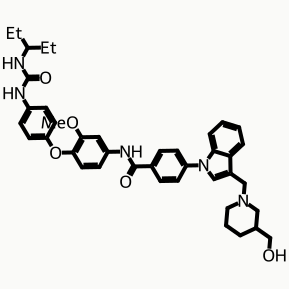 CCC(CC)NC(=O)Nc1ccc(Oc2ccc(NC(=O)c3ccc(-n4cc(CN5CCCC(CO)C5)c5ccccc54)cc3)cc2OC)cc1